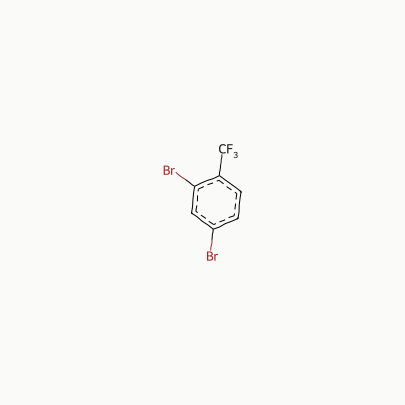 FC(F)(F)c1ccc(Br)cc1Br